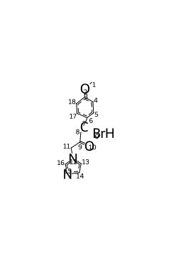 Br.COc1ccc(CCC(=O)Cn2ccnc2)cc1